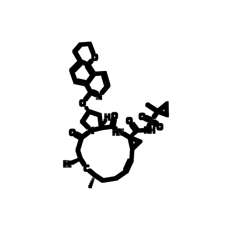 CC[C@H]1CC(=O)N2C[C@H](Oc3nccc4c5c(ccc34)CCCO5)C[C@H]2C(=O)N[C@]2(C(=O)NS(=O)(=O)C3(C)CC3)CC2/C=C\CC[C@H](C)C1